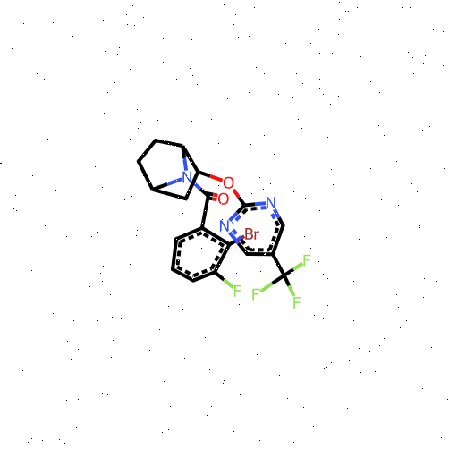 O=C(c1cccc(F)c1Br)N1C2CCC1C(Oc1ncc(C(F)(F)F)cn1)C2